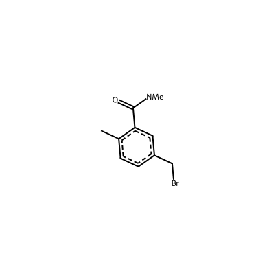 CNC(=O)c1cc(CBr)ccc1C